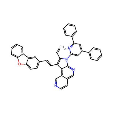 C=Cc1c(/C=C/c2ccc3oc4ccccc4c3c2)c2c3cnccc3cnc2n1-c1cc(-c2ccccc2)cc(-c2ccccc2)n1